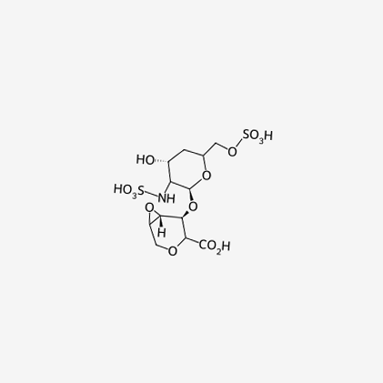 O=C(O)C1OCC2O[C@@H]2[C@H]1O[C@@H]1OC(COS(=O)(=O)O)C[C@@H](O)C1NS(=O)(=O)O